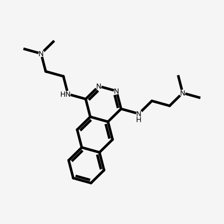 CN(C)CCNc1nnc(NCCN(C)C)c2cc3ccccc3cc12